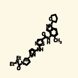 CCN(CC)C(=O)N1CC[C@@H](n2ccc(Nc3ncc(C(=O)Nc4c(C)ccc5c4cnn5C4CCCCO4)s3)n2)C1